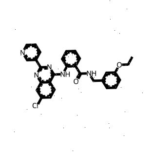 CCOc1cccc(CNC(=O)c2ccccc2Nc2nc(-c3cccnc3)nc3cc(Cl)ccc23)c1